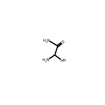 CCC[C](N)C(N)=O